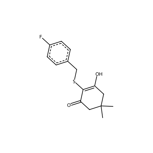 CC1(C)CC(=O)C(SCc2ccc(F)cc2)=C(O)C1